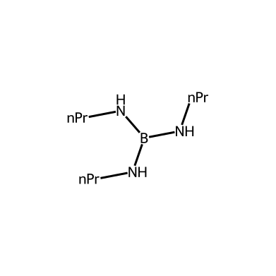 CCCNB(NCCC)NCCC